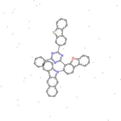 c1ccc(-c2nc(-c3ccc4c(c3)sc3ccccc34)nc(-c3c(-n4c5ccccc5c5cc6ccccc6cc54)ccc4c3oc3ccccc34)n2)cc1